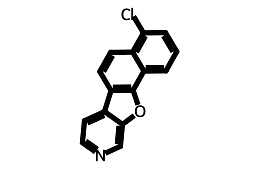 Clc1cccc2c1ccc1c3ccncc3oc21